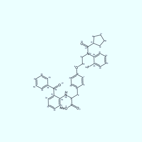 COC(=O)C(Cc1ccc(OCCN(C(=O)C2CCCC2)c2ccccc2F)cc1)Nc1ccccc1C(=O)c1ccccc1